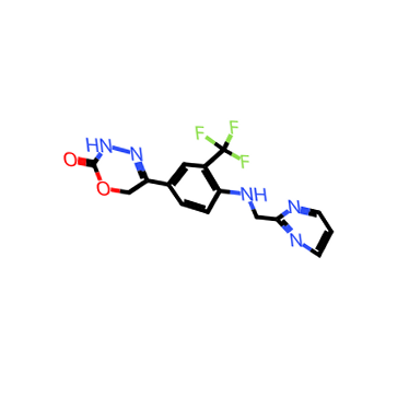 O=C1NN=C(c2ccc(NCc3ncccn3)c(C(F)(F)F)c2)CO1